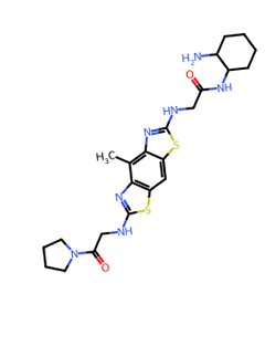 Cc1c2nc(NCC(=O)NC3CCCCC3N)sc2cc2sc(NCC(=O)N3CCCC3)nc12